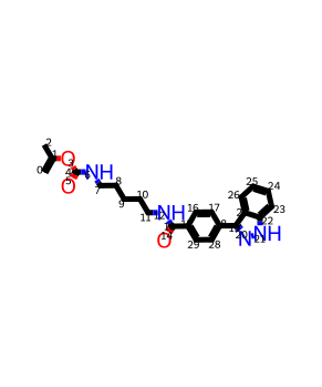 C=C(C)OC(=O)NCCCCCNC(=O)c1ccc(-c2n[nH]c3ccccc23)cc1